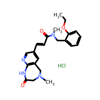 CCOc1ccccc1CN(C)C(=O)C=Cc1cnc2c(c1)CN(C)CC(=O)N2.Cl